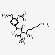 CCCCCCC(C)N(C(=O)NC)C(=O)C(C)c1ccc(OC)c(N=S(=O)=O)c1